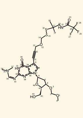 COCOC1C[C@H](n2cc(C#CCOCSSC(C)(C)CNC(=O)C(F)(F)F)c3c(=O)[nH]c(/N=C\N(C)C)nc32)O[C@@H]1CO